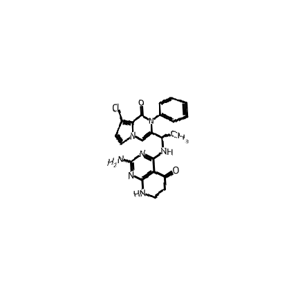 CC(Nc1nc(N)nc2c1C(=O)CCN2)c1cn2ccc(Cl)c2c(=O)n1-c1ccccc1